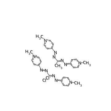 CC(N=Nc1cc[n+](C)cc1)=NN=c1ccn(C)cc1.Cn1ccc(=NN=CN=Nc2cc[n+](C)cc2)cc1.[Cl-].[Cl-]